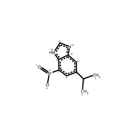 CC(C)c1cc([N+](=O)[O-])c2[nH]cnc2c1